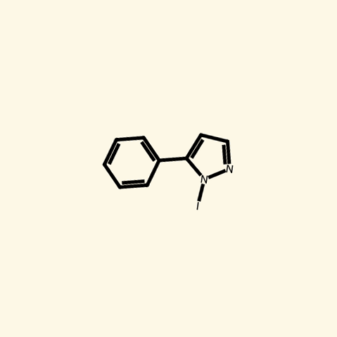 In1nccc1-c1ccccc1